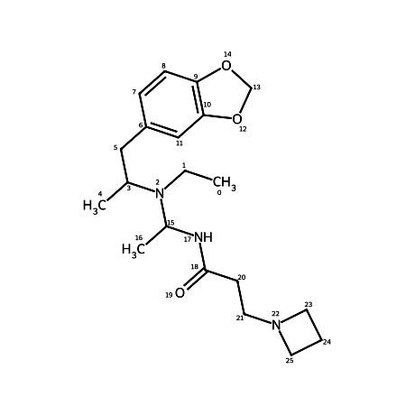 CCN(C(C)Cc1ccc2c(c1)OCO2)C(C)NC(=O)CCN1CCC1